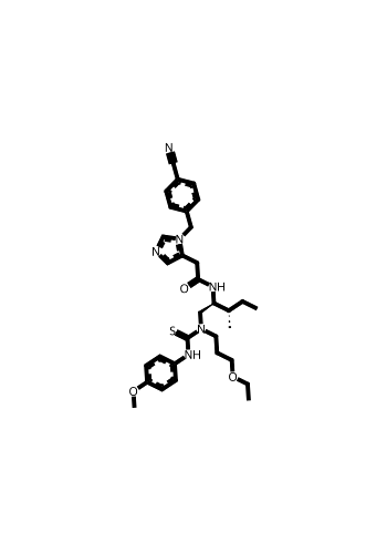 CCOCCCN(C[C@@H](NC(=O)Cc1cncn1Cc1ccc(C#N)cc1)[C@@H](C)CC)C(=S)Nc1ccc(OC)cc1